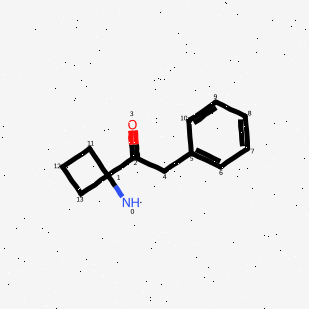 [NH]C1(C(=O)Cc2ccccc2)CCC1